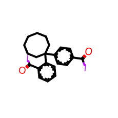 O=C(I)c1ccc(C2(c3ccccc3C(=O)I)CCCCCCC2)cc1